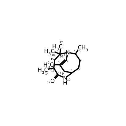 C/C1=C\N2C(C)CCC(C1)NC(=O)C(C)CC2(C)C